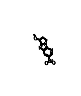 COC1CCn2c1nc1cc([N+](=O)[O-])cnc12